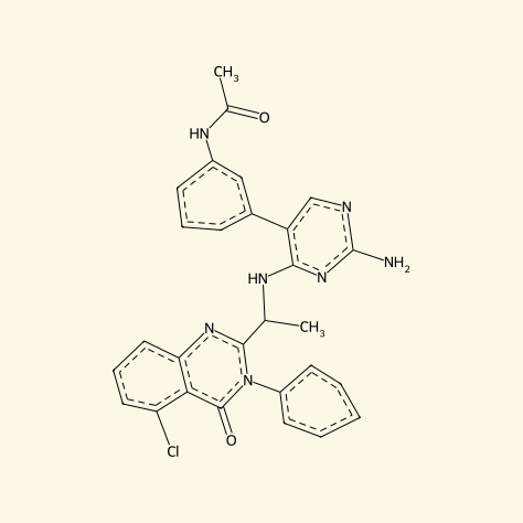 CC(=O)Nc1cccc(-c2cnc(N)nc2NC(C)c2nc3cccc(Cl)c3c(=O)n2-c2ccccc2)c1